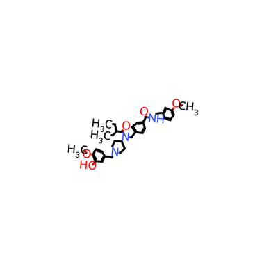 CCC(CC)C(=O)N(Cc1ccc(C(=O)NCc2cccc(OC)c2)cc1)C1CCN(Cc2ccc(OC)c(O)c2)CC1